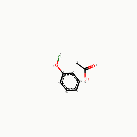 CC(=O)O.ClOc1ccccc1